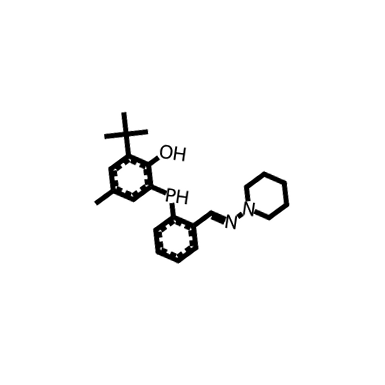 Cc1cc(Pc2ccccc2/C=N/N2CCCCC2)c(O)c(C(C)(C)C)c1